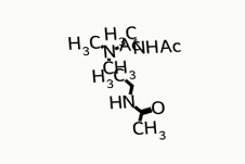 CC(=O)N(C)C.CCNC(C)=O.CNC(C)=O